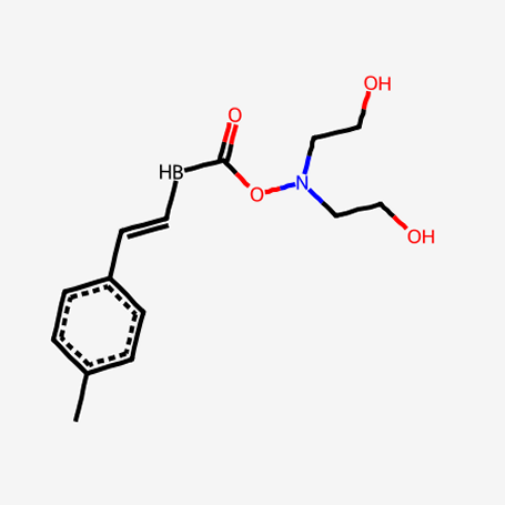 Cc1ccc(C=CBC(=O)ON(CCO)CCO)cc1